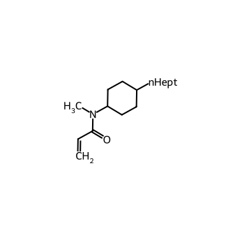 C=CC(=O)N(C)C1CCC(CCCCCCC)CC1